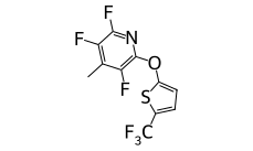 Cc1c(F)c(F)nc(Oc2ccc(C(F)(F)F)s2)c1F